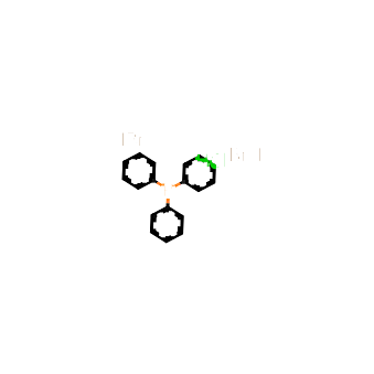 Br.Br.Cl.c1ccc(P(c2ccccc2)c2ccccc2)cc1